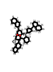 c1cc(-c2ccc3ccccc3c2)cc(N(c2ccc(-c3cccc4ccccc34)cc2)c2ccccc2-c2cccc3oc4c5ccccc5ccc4c23)c1